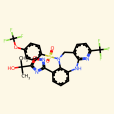 CC(C)(O)c1nc(-c2cccc3c2N(S(=O)(=O)c2ccc(OC(F)(F)F)cc2)Cc2ccc(C(F)(F)F)nc2N3)no1